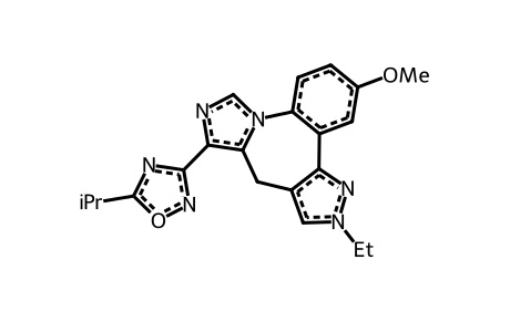 CCn1cc2c(n1)-c1cc(OC)ccc1-n1cnc(-c3noc(C(C)C)n3)c1C2